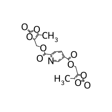 Cc1oc(=O)oc1COC(=O)c1ccc(C(=O)OCc2oc(=O)oc2C)nc1